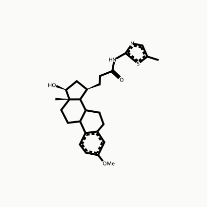 COc1ccc2c(c1)CCC1C2CC[C@@]2(C)C1[C@H](CCC(=O)Nc1ncc(C)s1)C[C@@H]2O